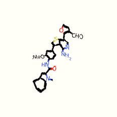 COc1cc(-c2csc3c(-c4occc4C=O)cnc(N)c23)ccc1NC(=O)c1cc2ccccc2n1C